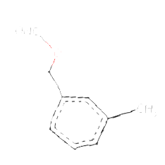 Cc1cccc(COC=O)c1